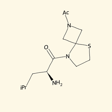 CC(=O)N1CC2(C1)SCCN2C(=O)[C@@H](N)CC(C)C